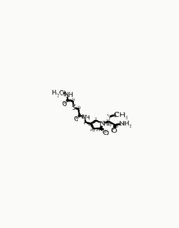 CC[C@H](C(N)=O)N1CC(CNC(=O)CSCC(=O)NC)CC1=O